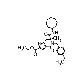 CCOC(=O)c1cc2n(n1)CC(C)(C(=O)NC1CCCCCCC1)N(Cc1ccc(CC)cc1)C2=O